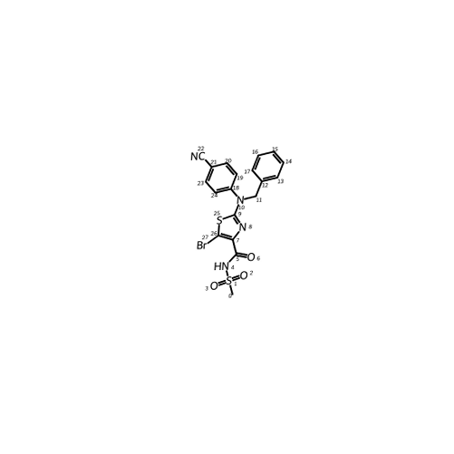 CS(=O)(=O)NC(=O)c1nc(N(Cc2ccccc2)c2ccc(C#N)cc2)sc1Br